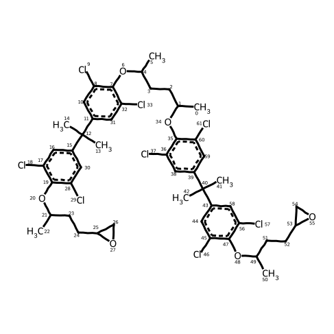 CC(CCC(C)Oc1c(Cl)cc(C(C)(C)c2cc(Cl)c(OC(C)CCC3CO3)c(Cl)c2)cc1Cl)Oc1c(Cl)cc(C(C)(C)c2cc(Cl)c(OC(C)CCC3CO3)c(Cl)c2)cc1Cl